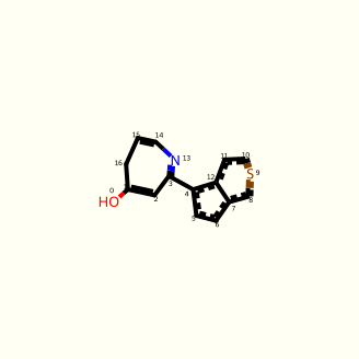 OC1=CC(c2ccc3csccc2-3)=NC=CC1